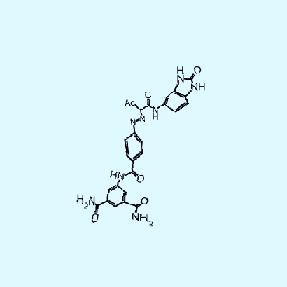 CC(=O)C(N=Nc1ccc(C(=O)Nc2cc(C(N)=O)cc(C(N)=O)c2)cc1)C(=O)Nc1ccc2[nH]c(=O)[nH]c2c1